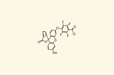 O=C1OC2(c3ccc(O)cc3Oc3cc(Oc4c(F)c(F)c(C(=O)Cl)c(F)c4F)ccc32)c2ccccc21